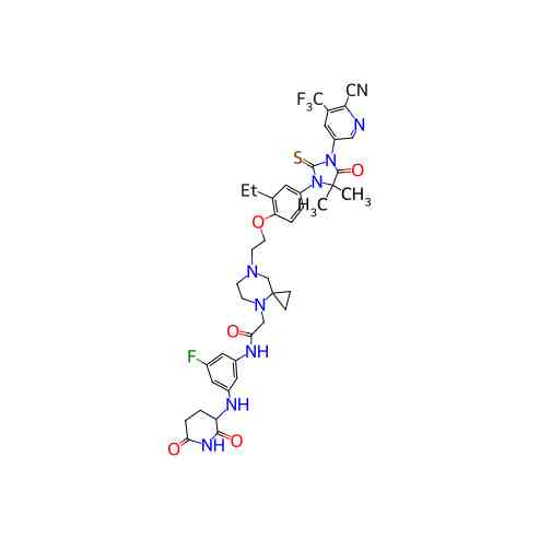 CCc1cc(N2C(=S)N(c3cnc(C#N)c(C(F)(F)F)c3)C(=O)C2(C)C)ccc1OCCN1CCN(CC(=O)Nc2cc(F)cc(NC3CCC(=O)NC3=O)c2)C2(CC2)C1